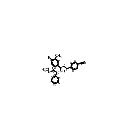 CNC(=O)[C@H](N[C@H](CCc1ccc(C#N)cc1)c1ccc(F)c(C)c1)c1ccccc1